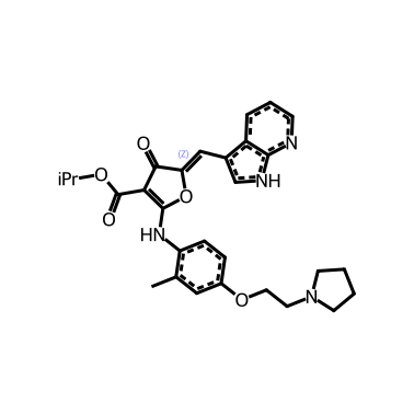 Cc1cc(OCCN2CCCC2)ccc1NC1=C(C(=O)OC(C)C)C(=O)/C(=C/c2c[nH]c3ncccc23)O1